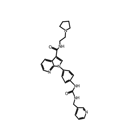 O=C(NCc1cccnc1)Nc1ccc(-n2cc(C(=O)NCCN3CCCC3)c3cccnc32)cc1